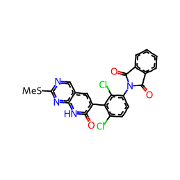 CSc1ncc2cc(-c3c(Cl)ccc(N4C(=O)c5ccccc5C4=O)c3Cl)c(=O)[nH]c2n1